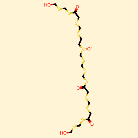 O=C(CSCSCC[S+]([O-])CSCSCSC(=O)CSCSCC(=O)SCSCO)SCSCO